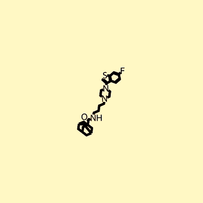 O=C(NCCCCN1CCN(c2csc3cc(F)ccc23)CC1)C12CC3CC(CC(C3)C1)C2